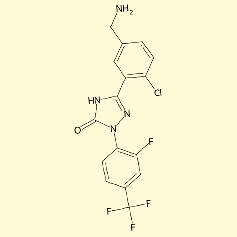 NCc1ccc(Cl)c(-c2nn(-c3ccc(C(F)(F)F)cc3F)c(=O)[nH]2)c1